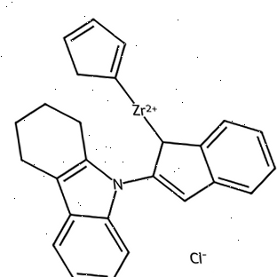 C1=CC[C]([Zr+2][CH]2C(n3c4c(c5ccccc53)CCCC4)=Cc3ccccc32)=C1.[Cl-].[Cl-]